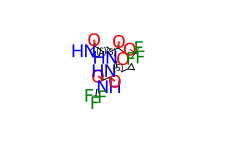 O=C(NCC(F)(F)F)C(=O)N[C@@H](CC1CC1)C(=O)N[C@@H](C[C@@H]1CCNC1=O)C(=O)COC(F)(F)F